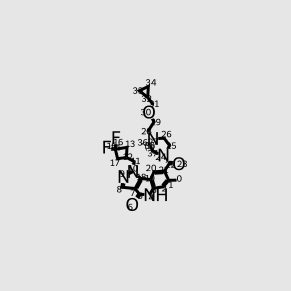 Cc1cc2[nH]c(=O)c3cnn(CC4CC(F)(F)C4)c3c2cc1C(=O)N1CCN(CCOCC2CC2)[C@@H](C)C1